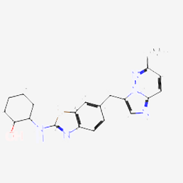 COc1ccc2ncc(Cc3ccc4nc(NC5CCCCC5O)sc4c3)n2n1